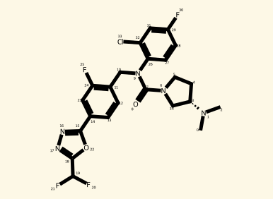 CN(C)[C@H]1CCN(C(=O)N(Cc2ccc(-c3nnc(C(F)F)o3)cc2F)c2ccc(F)cc2Cl)C1